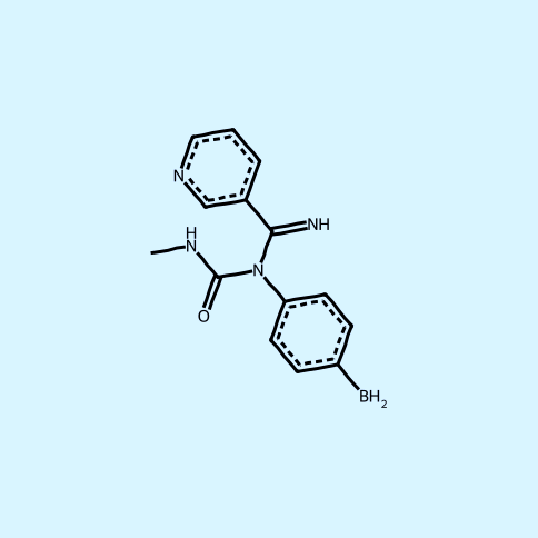 Bc1ccc(N(C(=N)c2cccnc2)C(=O)NC)cc1